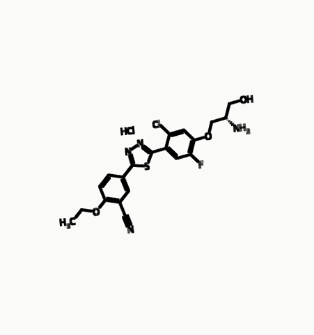 CCOc1ccc(-c2nnc(-c3cc(F)c(OC[C@@H](N)CO)cc3Cl)s2)cc1C#N.Cl